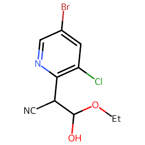 CCOC(O)C(C#N)c1ncc(Br)cc1Cl